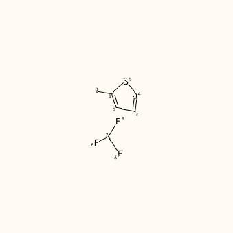 Cc1cccs1.FC(F)F